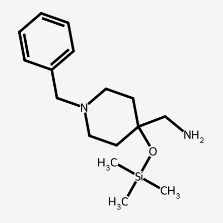 C[Si](C)(C)OC1(CN)CCN(Cc2ccccc2)CC1